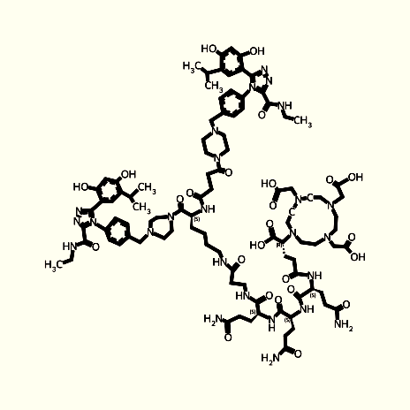 CCNC(=O)c1nnc(-c2cc(C(C)C)c(O)cc2O)n1-c1ccc(CN2CCN(C(=O)CCC(=O)N[C@@H](CCCCNC(=O)CCNC(=O)[C@H](CCC(N)=O)NC(=O)[C@H](CCC(N)=O)NC(=O)[C@H](CCC(N)=O)NC(=O)CC[C@H](C(=O)O)N3CCN(CC(=O)O)CCN(CC(=O)O)CCN(CC(=O)O)CC3)C(=O)N3CCN(Cc4ccc(-n5c(C(=O)NCC)nnc5-c5cc(C(C)C)c(O)cc5O)cc4)CC3)CC2)cc1